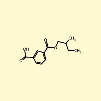 C[CH]C(C)COC(=O)c1cccc(C(=O)O)c1